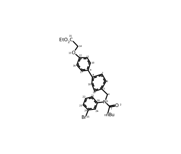 CCCCC(=O)N(Cc1ccc(-c2ccc(OCC(=O)OCC)cc2)cc1)c1cccc(Br)c1